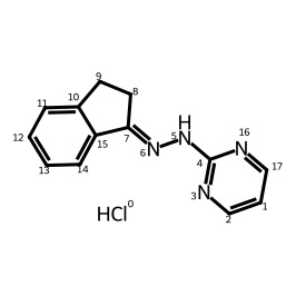 Cl.c1cnc(NN=C2CCc3ccccc32)nc1